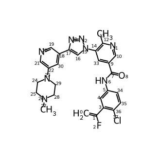 C=C(F)c1cc(NC(=O)c2cnc(C)c(-n3cc(-c4cncc(N5CCN(C)CC5)c4)nn3)c2)ccc1Cl